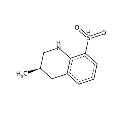 C[C@H]1CNc2c(cccc2[SH](=O)=O)C1